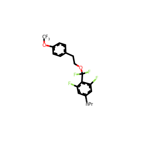 CCCc1cc(F)c(C(F)(F)OCCc2ccc(OC(F)(F)F)cc2)c(F)c1